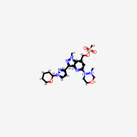 CN1COCCN1c1cc(COS(C)(=O)=O)c2c(n1)c(-c1ccn(C3CCCCO3)n1)nn2C